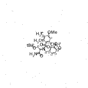 COc1cc(C)c(S(=O)(=O)N(Cc2ccc3c(c2)OCO3)C(COC(C)(C)C)C(N)=O)c(C)c1C